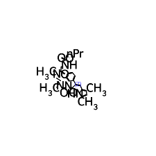 CCCOC(=O)NCC(=O)N(C)CCN(C)C(=O)N1C(=O)/C(=C\c2[nH]c(C)cc2C)c2ccccc21